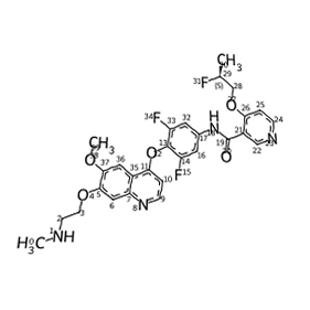 CNCCOc1cc2nccc(Oc3c(F)cc(NC(=O)c4cnccc4OC[C@H](C)F)cc3F)c2cc1OC